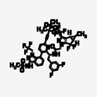 C[C@@H]1[C@@H]2c3c(C(F)(F)F)nn(CC(=O)N[C@@H](Cc4cc(F)cc(F)c4)c4nc(C#CC(C)(C)S(C)(=O)=O)ccc4-c4cccc5c(NS(C)(=O)=O)nn(CC(F)(F)F)c45)c3C(F)(F)[C@H]12